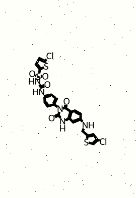 O=C(Nc1ccc(-n2c(=O)[nH]c3cc(NCc4cc(Cl)cs4)ccc3c2=O)cc1)NS(=O)(=O)c1ccc(Cl)s1